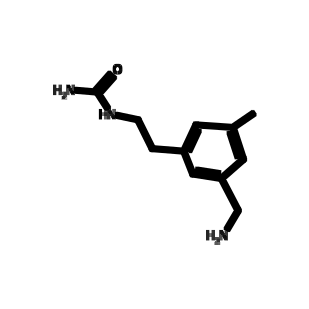 Cc1cc(CN)cc(CCNC(N)=O)c1